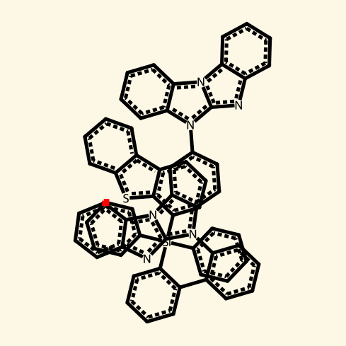 c1ccc([Si](c2ccccc2)(c2ccccc2-c2ccccc2-n2c3ccc(-n4c5ccccc5n5c6ccccc6nc45)cc3n3c4ccccc4nc23)c2cccc3c2sc2ccccc23)cc1